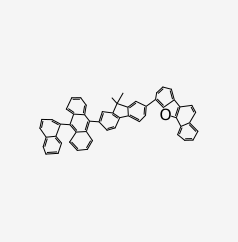 CC1(C)c2cc(-c3c4ccccc4c(-c4cccc5ccccc45)c4ccccc34)ccc2-c2ccc(-c3cccc4c3oc3c5ccccc5ccc43)cc21